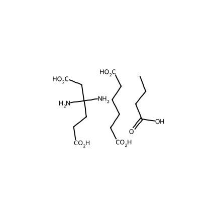 NC(N)(CCC(=O)O)CC(=O)O.O=C(O)CCCCC(=O)O.[CH2]CCC(=O)O